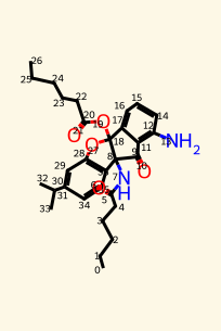 CCCCCC(=O)NC12C(=O)c3c(N)cccc3C1(OC(=O)CCCCC)Oc1cc(C(C)C)ccc12